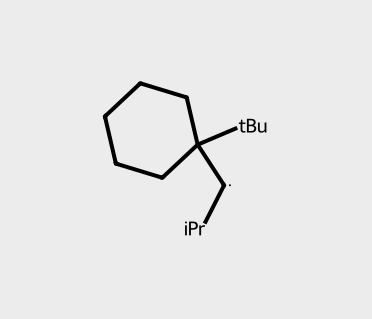 CC(C)[CH]C1(C(C)(C)C)CCCCC1